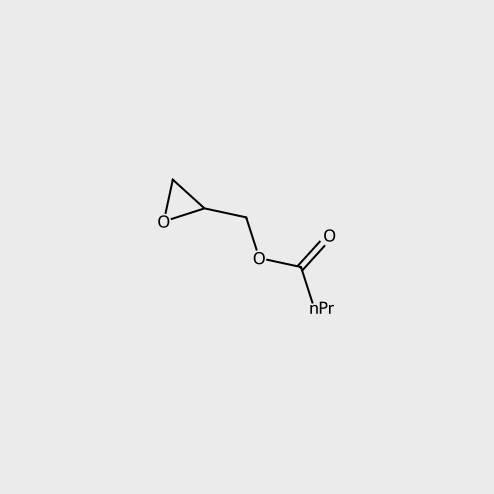 CCCC(=O)OCC1CO1